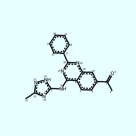 CC(=O)c1ccc2c(Nc3nc(C)n[nH]3)nc(-c3ccccc3)nc2c1